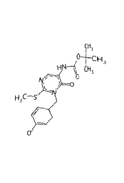 CSc1ncc(NC(=O)OC(C)(C)C)c(=O)n1CC1C=CC(Cl)=CC1